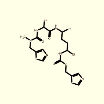 CCC(CCC(CC)NC(=O)C(NC(=O)N(C)Cc1cncs1)C(C)C)NC(=O)OCc1cncs1